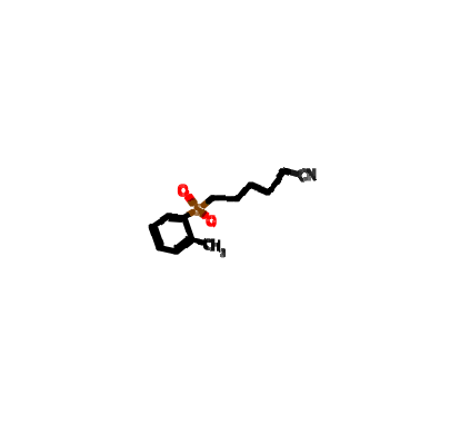 Cc1ccccc1S(=O)(=O)CCCCCC#N